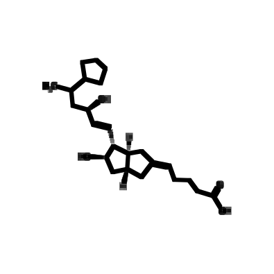 CC(C[C@@H](O)/C=C/[C@@H]1[C@H]2C/C(=C/CCCC(=O)O)C[C@@H]2C[C@H]1O)C1CCCC1